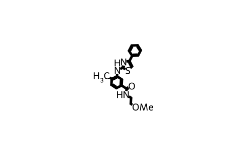 COCCNC(=O)c1ccc(C)c(Nc2nc(-c3ccccc3)cs2)c1